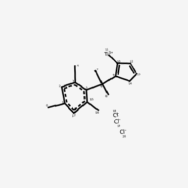 Cc1cc(C)c(C(C)(C)C2=[C]([Ti+3])C=CC2)c(C)c1.[Cl-].[Cl-].[Cl-]